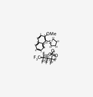 COc1ccc2ccccc2c1[S+]1CCCC1.O=S(=O)([O-])C(F)(F)C(F)(F)C(F)(F)C(F)(F)F